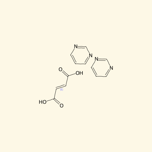 O=C(O)/C=C/C(=O)O.c1cncnc1.c1cncnc1